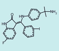 CC(C)(N)c1ccc(N/C(=C2\C(=O)Nc3cc(F)ccc32)c2cccc(I)c2)cc1